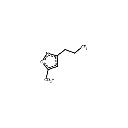 O=C(O)c1cc(CCC(F)(F)F)no1